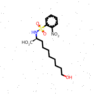 O=C(O)[C@H](CCCCCCCCO)NS(=O)(=O)c1ccccc1[N+](=O)[O-]